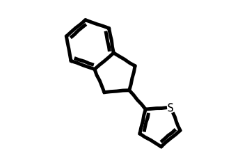 c1csc(C2Cc3ccccc3C2)c1